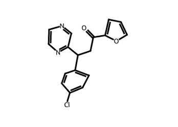 O=C(CC(c1ccc(Cl)cc1)c1cnccn1)c1ccco1